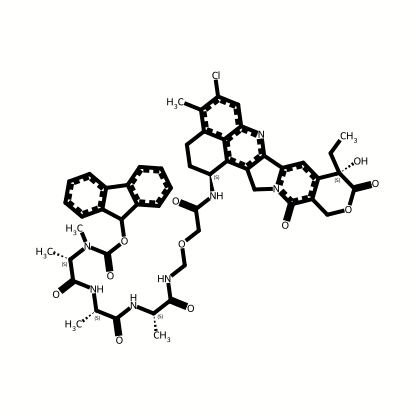 CC[C@@]1(O)C(=O)OCc2c1cc1n(c2=O)Cc2c-1nc1cc(Cl)c(C)c3c1c2[C@@H](NC(=O)COCNC(=O)[C@H](C)NC(=O)[C@H](C)NC(=O)[C@H](C)N(C)C(=O)OC1c2ccccc2-c2ccccc21)CC3